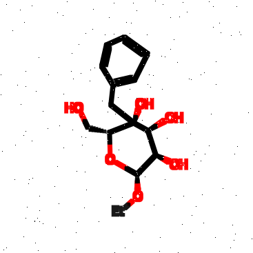 CCO[C@H]1O[C@H](CO)[C@](O)(Cc2ccccc2)[C@@H](O)[C@H]1O